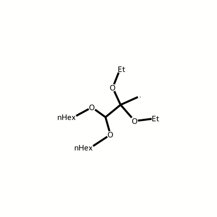 [CH2]C(OCC)(OCC)C(OCCCCCC)OCCCCCC